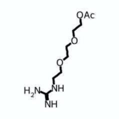 CC(=O)OCCOCCOCCNC(=N)N